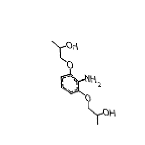 CC(O)COc1cccc(OCC(C)O)c1N